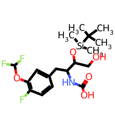 CC(C)(C)[Si](C)(C)OC(CO)C(Cc1ccc(F)c(OC(F)F)c1)NC(=O)O